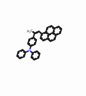 CC(=Cc1ccc2ccc3cccc4ccc1c2c34)c1ccc(N(c2ccccc2)c2ccccc2)cc1